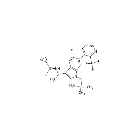 CC(N[S+]([O-])C1CC1)c1cn(CC(C)(C)C)c2cc(-c3cccnc3C(F)(F)F)c(F)cc12